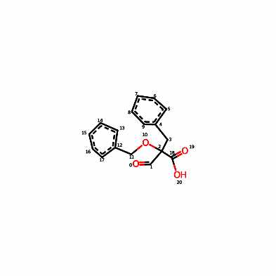 O=CC(Cc1ccccc1)(OCc1ccccc1)C(=O)O